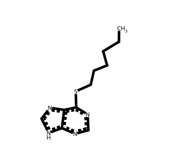 CCCCCCSc1ncnc2[nH]cnc12